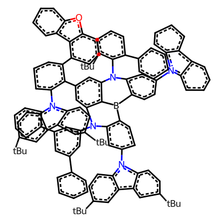 CC(C)(C)c1ccc2c(c1)c1cc(C(C)(C)C)ccc1n2-c1ccc2c(c1)N(c1cc(-c3ccccc3)cc(-c3ccccc3)c1)c1cc(-c3c(-c4cccc5oc6ccccc6c45)cccc3-n3c4ccc(C(C)(C)C)cc4c4cc(C(C)(C)C)ccc43)cc3c1B2c1ccc(-n2c4ccccc4c4ccccc42)cc1N3c1c(-c2ccccc2)cccc1C(C)(C)C